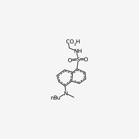 CCCCN(C)c1cccc2c(S(=O)(=O)NCC(=O)O)cccc12